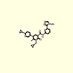 Cc1c(-c2ccc(C3CC3)nc2)cc(C(=O)Nc2cccc(-c3nncn3C(C)C)n2)c(=O)n1CC1CC1